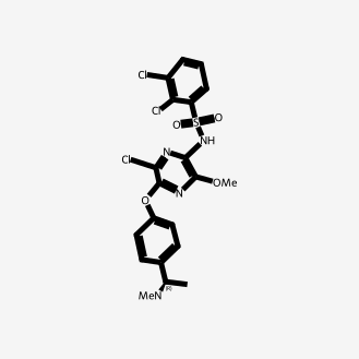 CN[C@H](C)c1ccc(Oc2nc(OC)c(NS(=O)(=O)c3cccc(Cl)c3Cl)nc2Cl)cc1